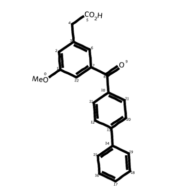 COc1cc(CC(=O)O)cc(C(=O)c2ccc(-c3ccccc3)cc2)c1